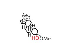 CC[C@]12CC[C@H]3[C@@H](CC[C@H]4C[C@@](O)(COC)CC[C@@H]43)[C@@H]1CC[C@@H]2C(C)=O